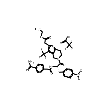 CCOC(=O)Cc1sc2c(c1C(F)(F)F)CN(C(=O)[C@H](Cc1ccc([N+](=O)[O-])cc1)NC(=O)c1ccc(C(=N)N)cc1)CC2.O=C(O)C(F)(F)F